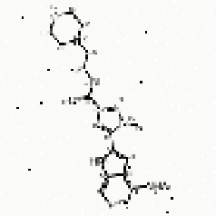 CC(=O)Nc1cccc2[nH]c(-c3cc(C(=O)NCCN4CCOCC4)nn3C)cc12